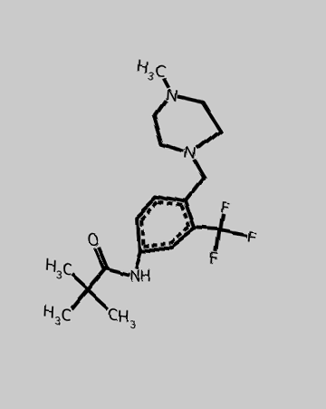 CN1CCN(Cc2ccc(NC(=O)C(C)(C)C)cc2C(F)(F)F)CC1